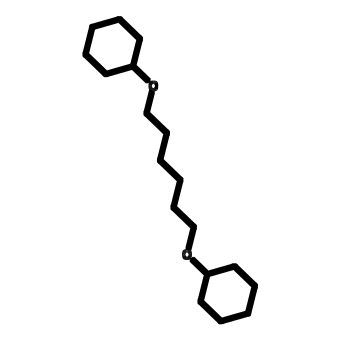 C(CCCOC1CCCCC1)CCOC1CCCCC1